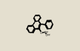 OBOc1c(-c2ccccc2)c2ccccc2c2ccccc12